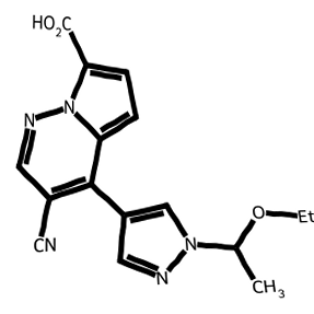 CCOC(C)n1cc(-c2c(C#N)cnn3c(C(=O)O)ccc23)cn1